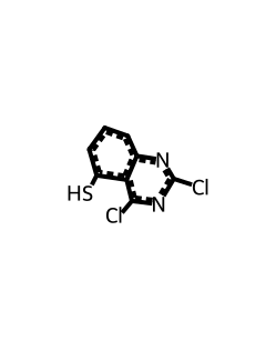 Sc1cccc2nc(Cl)nc(Cl)c12